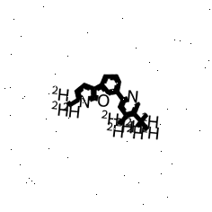 [2H]C([2H])([2H])c1ccc2c(n1)oc1c(-c3cc(C([2H])([2H])[2H])c(C([2H])(C)C([2H])([2H])[2H])cn3)cccc12